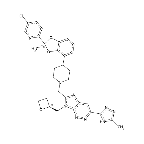 Cc1nnc(-c2cc3nc(CN4CCC(c5cccc6c5O[C@@](C)(c5ccc(Cl)cn5)O6)CC4)n(C[C@@H]4CCO4)c3nn2)[nH]1